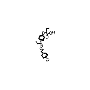 CC/C(=N\OCCc1ccc(OC)cc1)c1ccc(OC(CC)C(=O)O)cc1